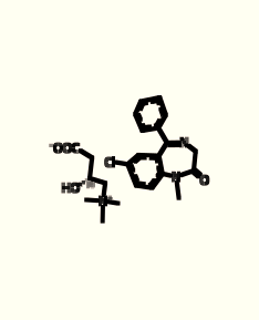 CN1C(=O)CN=C(c2ccccc2)c2cc(Cl)ccc21.C[N+](C)(C)C[C@H](O)CC(=O)[O-]